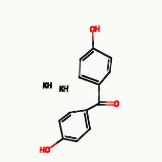 O=C(c1ccc(O)cc1)c1ccc(O)cc1.[KH].[KH]